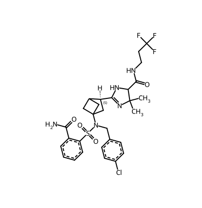 CC1(C)N=C([C@H]2CC3(N(Cc4ccc(Cl)cc4)S(=O)(=O)c4ccccc4C(N)=O)CC2C3)NC1C(=O)NCCC(F)(F)F